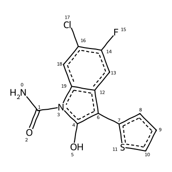 NC(=O)n1c(O)c(-c2cccs2)c2cc(F)c(Cl)cc21